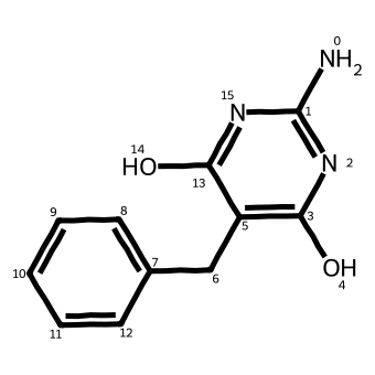 Nc1nc(O)c(Cc2ccccc2)c(O)n1